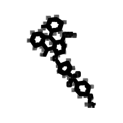 COc1ccc(Oc2ccc(S(=O)(=O)c3ccc(OC(C)C)cc3)cc2)c2c1C(c1ccccc1C)c1ccccc1C2C